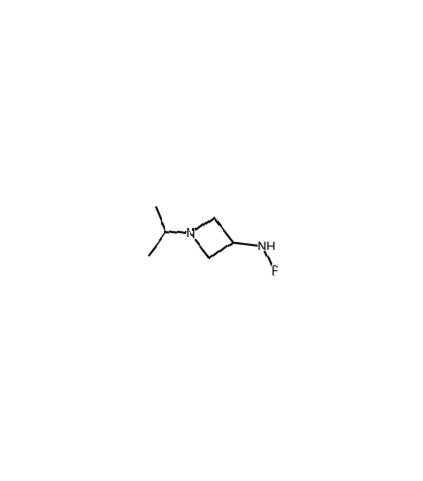 CC(C)N1CC(NF)C1